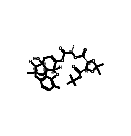 Cc1ccc2c3c1O[C@H]1C(OC(=O)[C@H](C)OC(=O)[C@@H]4OC(C)(C)O[C@H]4C(=O)OC(C)(C)C)=CC[C@@]4(O)[C@@H](C2)N(C)CC[C@]314